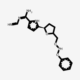 N=C/N=C(/N)c1ccc([C@H]2CCC(COPOc3ccccc3)O2)[nH]1